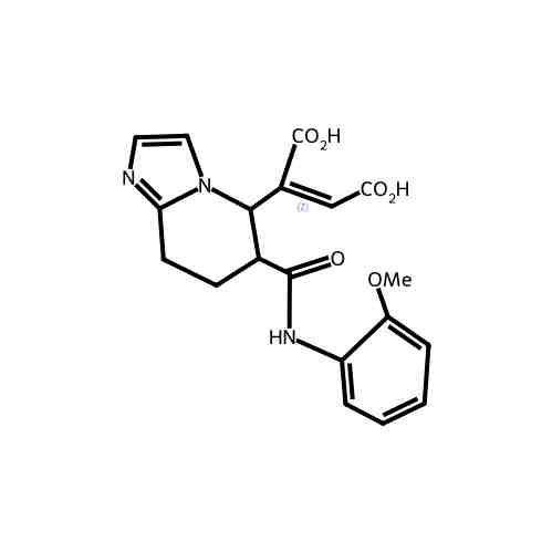 COc1ccccc1NC(=O)C1CCc2nccn2C1/C(=C/C(=O)O)C(=O)O